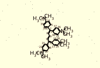 CN(C)c1ccc(C(=CC=CC(=C2C=CC(C)(C)C=C2)c2ccc(N(C)C)cc2)c2ccc(N(C)C)cc2)cc1